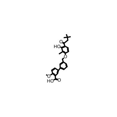 COc1ccc(-c2cccc(COc3ccc(C(=O)CC(C)(C)C)c(O)c3C)c2)cc1C(=O)O